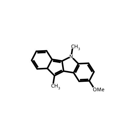 COc1ccc2c(c1)c1c(n2C)=C2C=CC=CC2C=1C